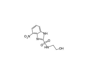 O=[N+]([O-])c1cccc2[nH]c(S(=O)(=O)NCCO)nc12